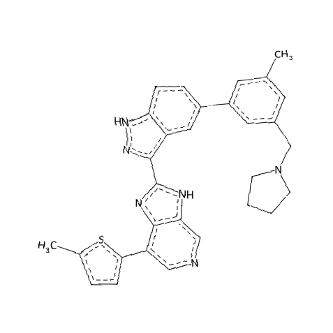 Cc1cc(CN2CCCC2)cc(-c2ccc3[nH]nc(-c4nc5c(-c6ccc(C)s6)cncc5[nH]4)c3c2)c1